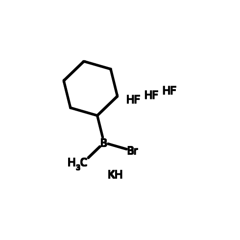 CB(Br)C1CCCCC1.F.F.F.[KH]